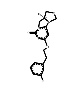 O=c1nc(OCCc2cccc(F)c2)cc2n1C[C@H]1COCN21